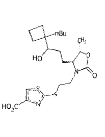 CCCCC1(C(O)CC[C@H]2[C@H](C)OC(=O)N2CCSc2nc(C(=O)O)cs2)CCC1